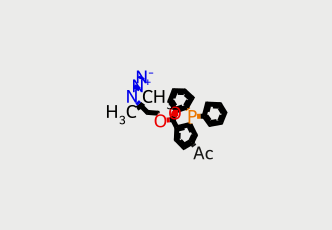 CC(=O)c1ccc(C(=O)OCCC(C)(C)N=[N+]=[N-])c(P(c2ccccc2)c2ccccc2)c1